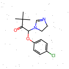 CC(C)(C)C(=O)C(Oc1ccc(Cl)cc1)N1C=NCC1